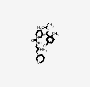 Cc1ccc(Cl)cc1C(OC(C)C)[C@@H]1CCCN(C(=O)NC[C@H](N)C[C@H]2CCCCOC2)C1